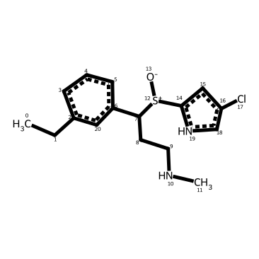 CCc1cccc(C(CCNC)[S+]([O-])c2cc(Cl)c[nH]2)c1